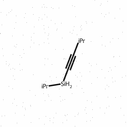 CC(C)C#C[SiH2]C(C)C